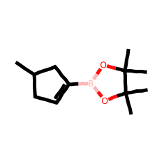 CC1CC=C(B2OC(C)(C)C(C)(C)O2)C1